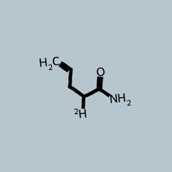 [2H]C(CC=C)C(N)=O